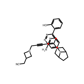 N#CCC1CN(CC#Cc2cc(N3C4CCC3CN(c3cc(-c5ccccc5O)nnc3N)C4)ccn2)C1